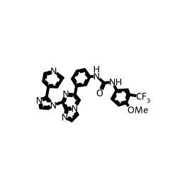 COc1ccc(NC(=O)Nc2cccc(-c3cn4ccnc4c(-n4ccnc4-c4ccncc4)n3)c2)cc1C(F)(F)F